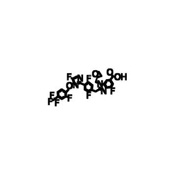 O=C(O)c1cc(F)c2nc(Cc3cc(F)c(-c4ncc(F)c(OCc5ccc(C(F)(F)F)cc5F)n4)cc3F)n(C[C@@H]3CCO3)c2c1